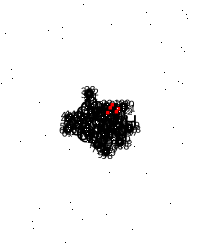 CC(C)(C)[Si](C)(C)OCC1OC(OC2C(OC(=O)c3ccccc3)C(NC(=O)OCc3ccccc3)CC(NC(=O)OCc3ccccc3)C2OC2OC3COC(c4ccccc4)OC3C(O)C2NC(=O)OCc2ccccc2)C(OCC=O)C1OC1OC(CNC(=O)OCc2ccccc2)C(OC(=O)c2ccccc2)C(OC(=O)c2ccccc2)C1NC(=O)OCc1ccccc1